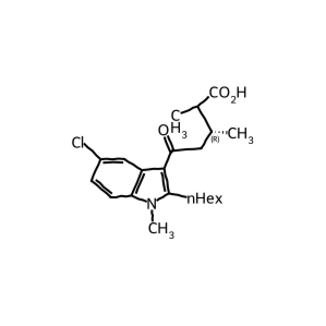 CCCCCCc1c(C(=O)C[C@@H](C)C(C)C(=O)O)c2cc(Cl)ccc2n1C